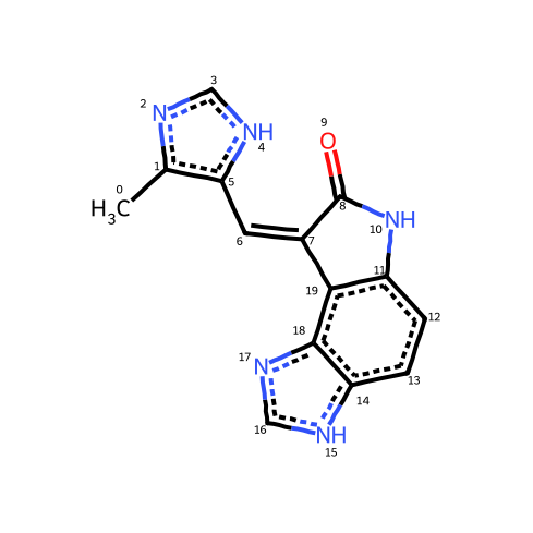 Cc1nc[nH]c1C=C1C(=O)Nc2ccc3[nH]cnc3c21